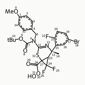 COc1ccc(CN(C(=O)OC(C)(C)C)C2=N[C@](C)(c3cc(Br)ccc3F)C3C(F)(F)C3(C(=O)OO)S2)cc1